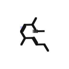 CCC=CC(C)/C=C\C(C)NC